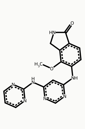 COc1c(Nc2cc(Nc3ncccn3)ncn2)ccc2c1CNC2=O